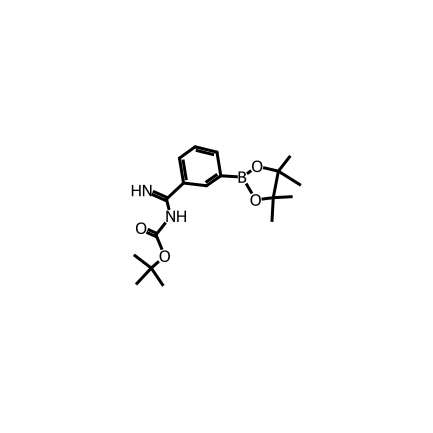 CC(C)(C)OC(=O)NC(=N)c1cccc(B2OC(C)(C)C(C)(C)O2)c1